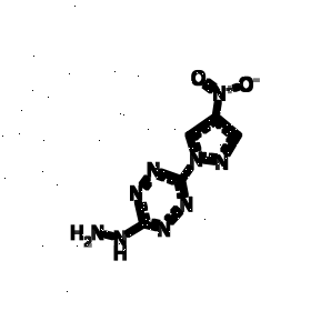 NNc1nnc(-n2cc([N+](=O)[O-])cn2)nn1